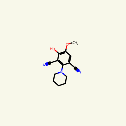 COc1cc(C#N)c(N2CCCCC2)c(C#N)c1O